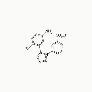 CCOC(=O)c1cccc(-n2nccc2-c2cc(N)ccc2Br)c1